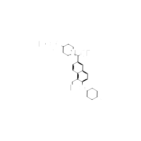 C[C@H]1CC[C@@H](Oc2ccc3cc(C(N4CCC(C(=O)O)CC4)C(F)(F)F)ccc3c2CF)CC1